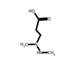 CNN(C)CCC(=O)O